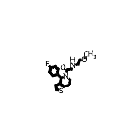 COCCNCC(=O)N1CCc2sccc2C1c1ccc(F)cc1